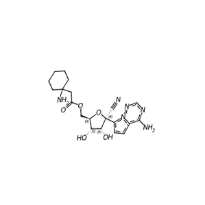 N#C[C@@]1(c2ccc3c(N)ncnn23)O[C@H](COC(=O)CC2(N)CCCCC2)[C@@H](O)[C@H]1O